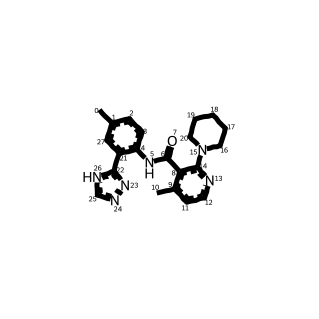 Cc1ccc(NC(=O)c2c(C)ccnc2N2CCCCC2)c(-c2nnc[nH]2)c1